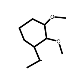 C[CH]C1CCCC(OC)C1OC